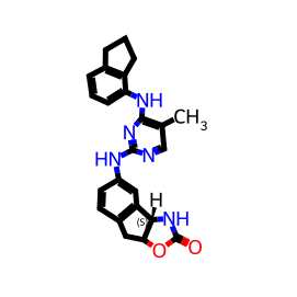 Cc1cnc(Nc2ccc3c(c2)[C@@H]2NC(=O)OC2C3)nc1Nc1cccc2c1CCC2